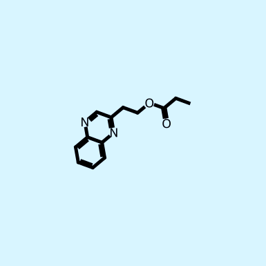 CCC(=O)OCCc1cnc2ccccc2n1